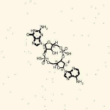 Nc1nc2c(ncn2[C@@H]2O[C@@H]3CO[P@@](=O)(S)OC4[C@@H](CO[P@@](=O)(S)O[C@H]2C3O)O[C@@H](n2cnc3c(N)ccnc32)[C@H]4F)c(=O)[nH]1